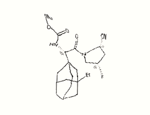 CCC12CC3CC(C1)CC([C@H](NC(=O)OC(C)(C)C)C(=O)N1C[C@@H](F)C[C@H]1C#N)(C3)C2